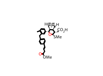 COC(=O)CC=Cc1ccc(Cc2cc([C@H]3O[C@H](SC)[C@@H](CC(=O)O)[C@H](CC(=O)O)[C@@H]3CC(=O)O)ccc2C)cc1